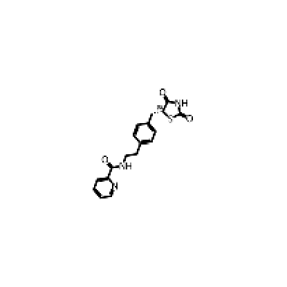 O=C1NC(=O)[C@@H](Cc2ccc(CCNC(=O)c3ccccn3)cc2)S1